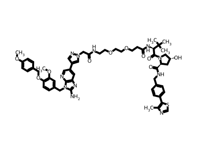 COc1ccc(COc2ccc(Cn3c(N)nc4cc(-c5cnn(CC(=O)NCCOCCOCCC(=O)N[C@H](C(=O)N6C[C@H](O)C[C@H]6C(=O)NCc6ccc(-c7scnc7C)cc6)C(C)(C)C)c5)cnc43)cc2OC)cc1